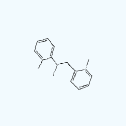 Cc1ccccc1CC(I)c1ccccc1C